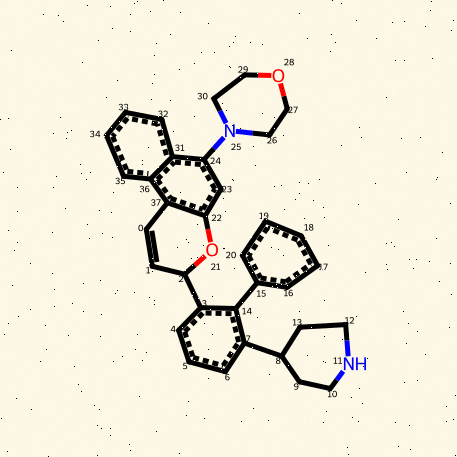 C1=CC(c2cccc(C3CCNCC3)c2-c2ccccc2)Oc2cc(N3CCOCC3)c3ccccc3c21